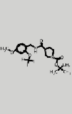 COc1ccc(CNC(=O)C2CCN(C(=O)OC(C)(C)C)CC2)c(OC(F)(F)F)c1